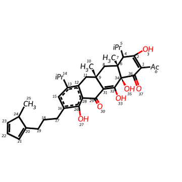 CC(=O)C1=C(O)C(C(C)C)[C@@]2(C)C[C@@]3(C)Cc4c(C(C)C)cc(CCCC5=CC=CC5C)c(O)c4C(=O)C3=C(O)[C@@]2(O)C1=O